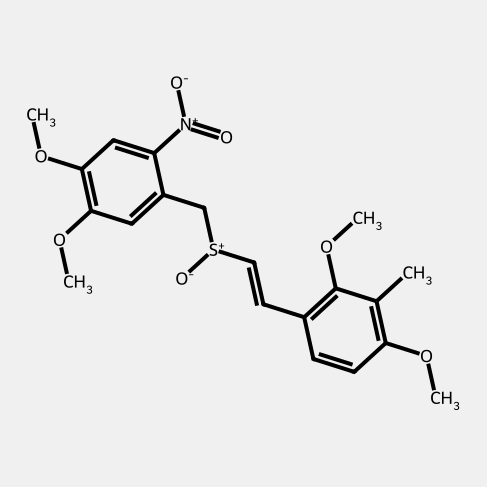 COc1cc(C[S+]([O-])C=Cc2ccc(OC)c(C)c2OC)c([N+](=O)[O-])cc1OC